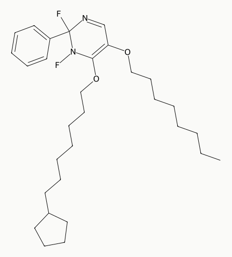 CCCCCCCCOC1=C(OCCCCCCCC2CCCC2)N(F)C(F)(c2ccccc2)N=C1